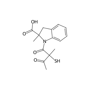 CC(=O)C(C)(S)C(=O)N1c2ccccc2CC1(C)C(=O)O